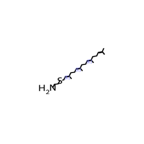 CC(C)=CCC/C(C)=C/CC/C(C)=C/CC/C(C)=C/CSCCN